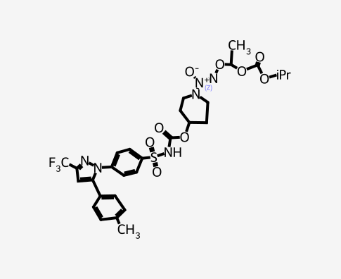 Cc1ccc(-c2cc(C(F)(F)F)nn2-c2ccc(S(=O)(=O)NC(=O)OC3CCN(/[N+]([O-])=N/OC(C)OC(=O)OC(C)C)CC3)cc2)cc1